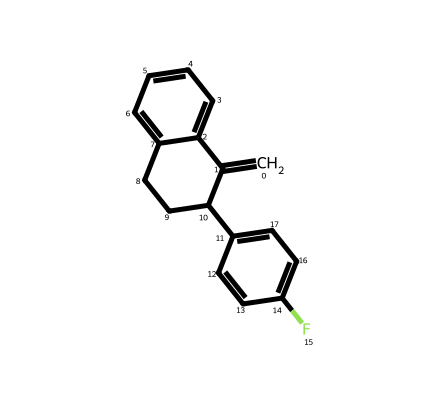 C=C1c2ccccc2CCC1c1ccc(F)cc1